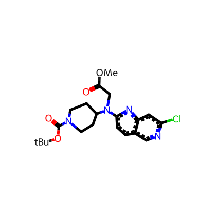 COC(=O)CN(c1ccc2cnc(Cl)cc2n1)C1CCN(C(=O)OC(C)(C)C)CC1